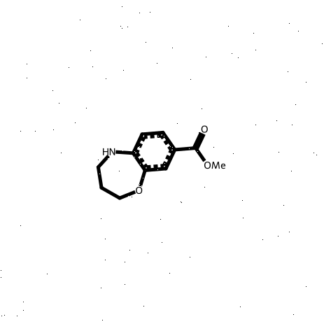 COC(=O)c1ccc2c(c1)OCCCN2